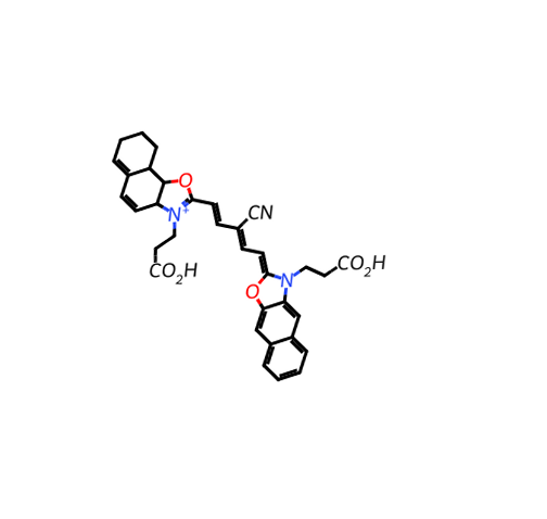 N#CC(=C\C=C1/Oc2cc3ccccc3cc2N1CCC(=O)O)/C=C/C1=[N+](CCC(=O)O)C2C=CC3=CCCCC3C2O1